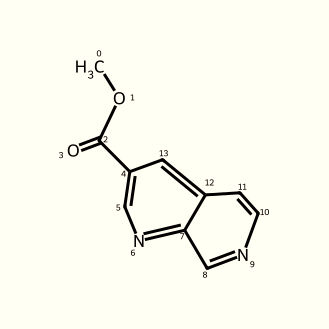 COC(=O)c1cnc2cnccc2c1